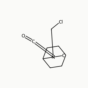 O=C=C1C2CCC(CC2)CN1CCl